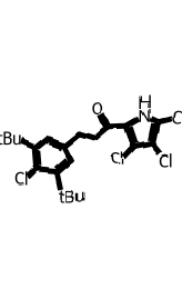 CC(C)(C)c1cc(CCC(=O)c2[nH]c(Cl)c(Cl)c2Cl)cc(C(C)(C)C)c1Cl